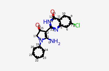 NC1=C(c2nc3cc(Cl)ccc3c(=O)[nH]2)C(=O)CN1c1ccccc1